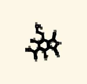 CCCc1c(Br)c(C(=O)O)c(Br)c2c1C(=O)OC2=O